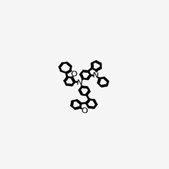 C1=CCc2c(oc3c(N(c4ccc(-c5cccc6oc7ccccc7c56)cc4)c4ccc5c6ccccc6n(-c6ccccc6)c5c4)cccc23)C=C1